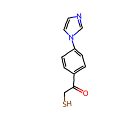 O=C(CS)c1ccc(-n2ccnc2)cc1